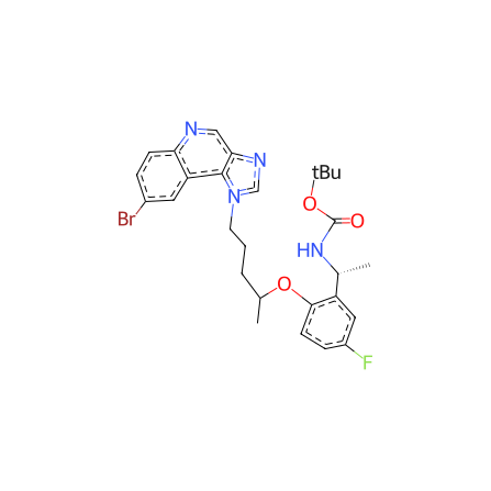 CC(CCCn1cnc2cnc3ccc(Br)cc3c21)Oc1ccc(F)cc1[C@@H](C)NC(=O)OC(C)(C)C